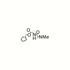 CN[C@@H](C)C(=O)N[C@@H](C)C(=O)OCc1ccccc1